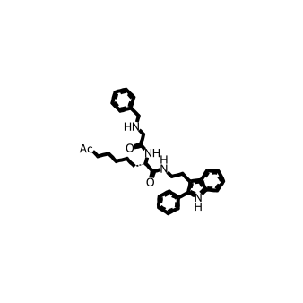 CC(=O)CCCCC[C@H](NC(=O)CNCc1ccccc1)C(=O)NCCc1c(-c2ccccc2)[nH]c2ccccc12